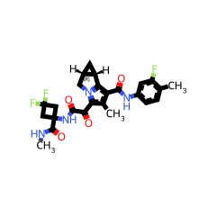 CNC(=O)C1(NC(=O)C(=O)c2c(C)c(C(=O)Nc3ccc(C)c(F)c3)c3n2C[C@@H]2C[C@H]32)CC(F)(F)C1